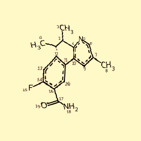 CCC(C)c1ncc(C)cc1-c1ccc(F)c(C(N)=O)c1